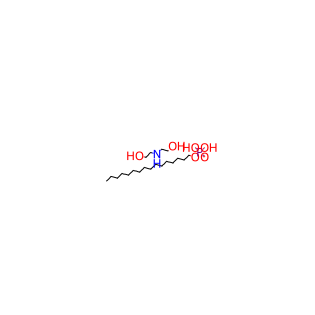 CCCCCCCCCCCCCCCCOP(=O)(O)O.OCCNCCO